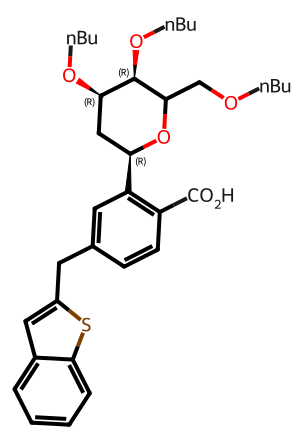 CCCCOCC1O[C@@H](c2cc(Cc3cc4ccccc4s3)ccc2C(=O)O)C[C@@H](OCCCC)[C@H]1OCCCC